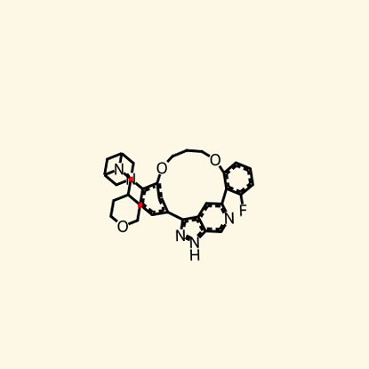 Fc1cccc2c1-c1cc3c(n[nH]c3cn1)-c1ccc(N3CC4CC(C3)N4CC3CCOCC3)c(c1)OCCCO2